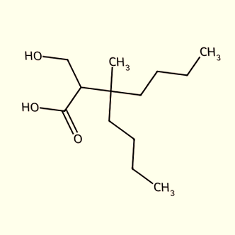 CCCCC(C)(CCCC)C(CO)C(=O)O